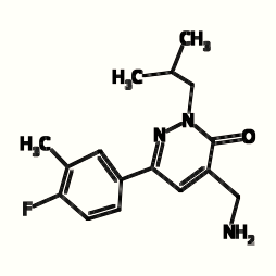 Cc1cc(-c2cc(CN)c(=O)n(CC(C)C)n2)ccc1F